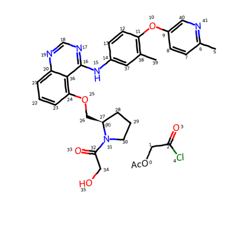 CC(=O)OCC(=O)Cl.Cc1ccc(Oc2ccc(Nc3ncnc4cccc(OC[C@H]5CCCN5C(=O)CO)c34)cc2C)cn1